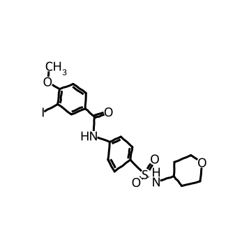 COc1ccc(C(=O)Nc2ccc(S(=O)(=O)NC3CCOCC3)cc2)cc1I